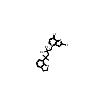 CC(C)(CC(O)(Cn1ccc(=O)c2sc(Cl)cc21)C(F)(F)F)c1cccc2c1OCC2